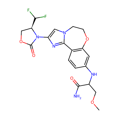 COCC(Nc1ccc2c(c1)OCCn1cc(N3C(=O)OC[C@H]3C(F)F)nc1-2)C(N)=O